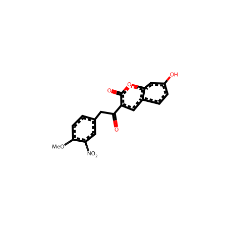 COc1ccc(CC(=O)c2cc3ccc(O)cc3oc2=O)cc1[N+](=O)[O-]